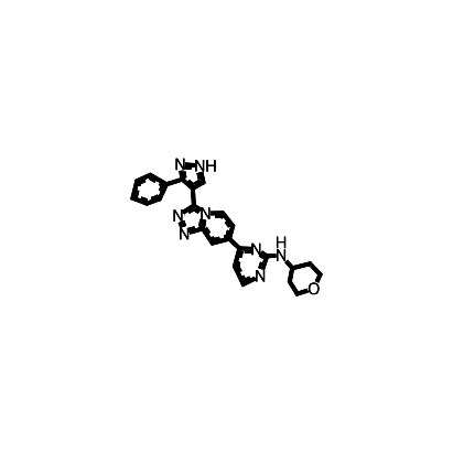 c1ccc(-c2n[nH]cc2-c2nnc3cc(-c4ccnc(NC5CCOCC5)n4)ccn23)cc1